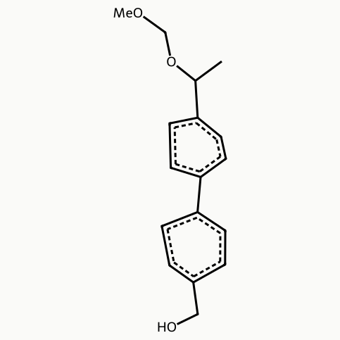 COCOC(C)c1ccc(-c2ccc(CO)cc2)cc1